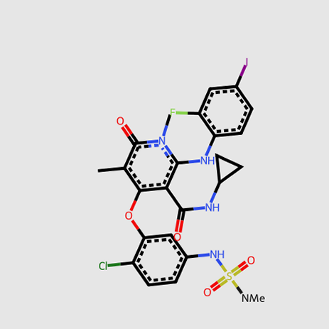 CNS(=O)(=O)Nc1ccc(Cl)c(Oc2c(C(=O)NC3CC3)c(Nc3ccc(I)cc3F)n(C)c(=O)c2C)c1